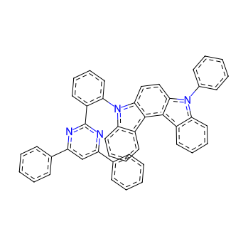 c1ccc(-c2cc(-c3ccccc3)nc(-c3ccccc3-n3c4ccccc4c4c5c6ccccc6n(-c6ccccc6)c5ccc43)n2)cc1